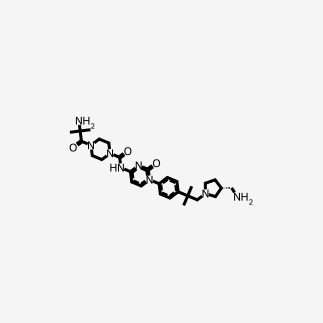 CC(C)(N)C(=O)N1CCN(C(=O)Nc2ccn(-c3ccc(C(C)(C)CN4CC[C@H](CN)C4)cc3)c(=O)n2)CC1